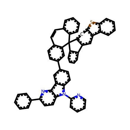 C1=Cc2ccc(-c3ccc4c(c3)c3nc(-c5ccccc5)ccc3n4-c3ccccn3)cc2C2(c3ccccc31)c1ccccc1-c1cc3c(cc12)sc1ccccc13